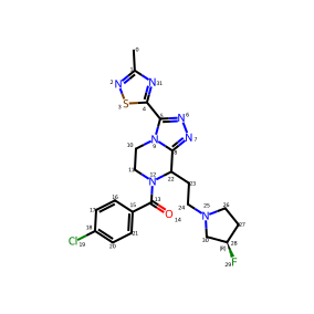 Cc1nsc(-c2nnc3n2CCN(C(=O)c2ccc(Cl)cc2)C3CCN2CC[C@@H](F)C2)n1